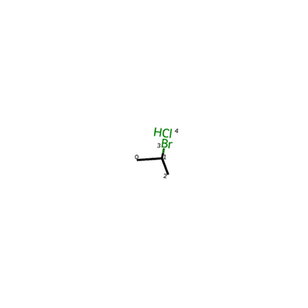 CC(C)Br.Cl